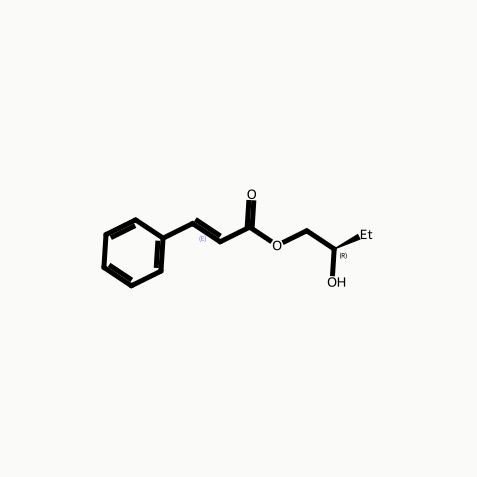 CC[C@@H](O)COC(=O)/C=C/c1ccccc1